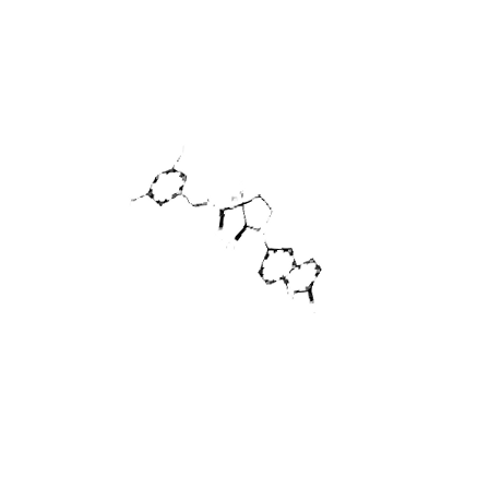 O=C(NCc1cc(F)cc(Cl)c1)[C@]1(O)CCN(c2ccc3[nH]c(=O)ccc3c2)C1=O